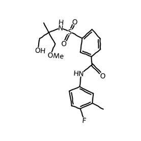 COCC(C)(CO)NS(=O)(=O)c1cccc(C(=O)Nc2ccc(F)c(C)c2)c1